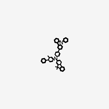 CC1C=C(N(C2=CCC3C(=C2)C(C)(C)c2ccccc23)C2C=CC(c3ccc4c(c3)c3ccccc3n4-c3ccccc3)=CC2)C=CC1c1ccccc1